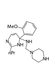 CCCC1=NC=CC(NCN2CCNCC2)(c2ccccc2OC)N1